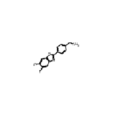 NCc1ccc(-c2nc3cc(F)c(F)cc3o2)cc1